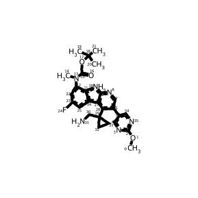 COc1ncc(-c2cnc3[nH]c4c(N(C)C(=O)OC(C)(C)C)cc(F)cc4c3c2C2(CN)CC2)cn1